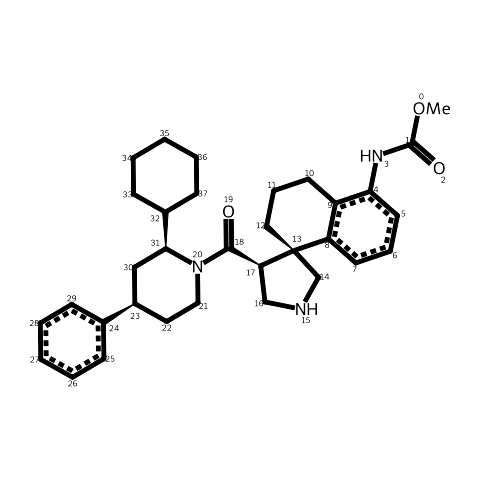 COC(=O)Nc1cccc2c1CCC[C@]21CNC[C@H]1C(=O)N1CC[C@@H](c2ccccc2)C[C@H]1C1CCCCC1